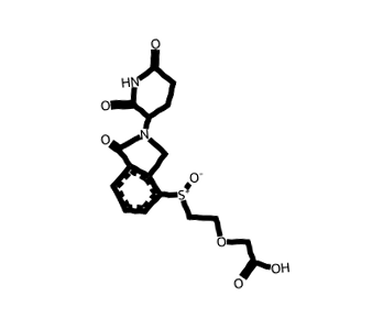 O=C(O)COCC[S+]([O-])c1cccc2c1CN(C1CCC(=O)NC1=O)C2=O